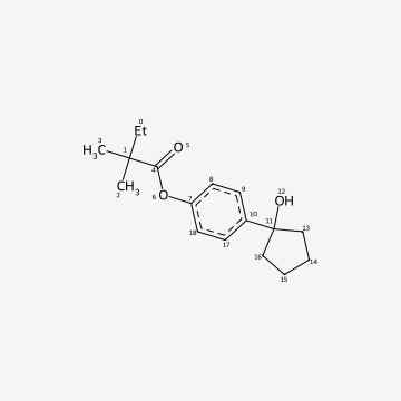 CCC(C)(C)C(=O)Oc1ccc(C2(O)CCCC2)cc1